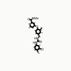 CNC(=O)c1cc(Oc2ccc(CNC(=O)Nc3ccc(C)c(Cl)c3)cc2C)ccn1